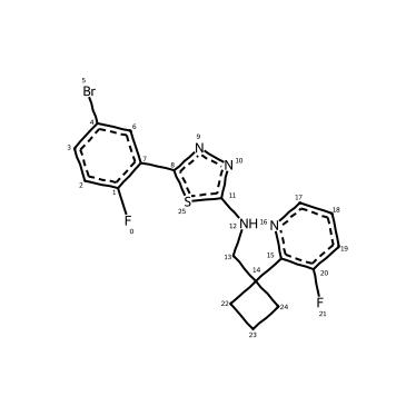 Fc1ccc(Br)cc1-c1nnc(NCC2(c3ncccc3F)CCC2)s1